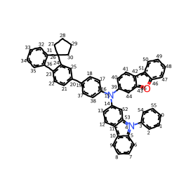 c1ccc(-n2c3ccccc3c3ccc(N(c4ccc(-c5ccc6c(c5)C5(CCCC5)c5ccccc5-6)cc4)c4ccc5c(c4)oc4ccccc45)cc32)cc1